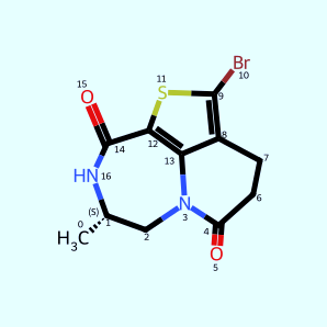 C[C@H]1CN2C(=O)CCc3c(Br)sc(c32)C(=O)N1